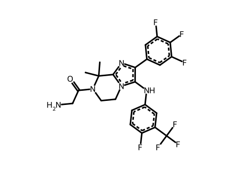 CC1(C)c2nc(-c3cc(F)c(F)c(F)c3)c(Nc3ccc(F)c(C(F)(F)F)c3)n2CCN1C(=O)CN